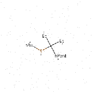 CCCCCC(CC)(CC)SCCCC